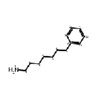 NCCCCCCCc1[c]cccc1